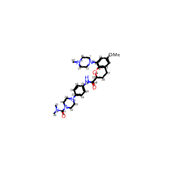 COc1cc2c(c(N3CCN(C)CC3)c1)OC(C(=O)Nc1ccc(N3CCN(C(=O)N(C)C)CC3)cc1)CC2